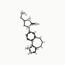 NCC1CN(c2ccc3c(c2)CCCc2cn[nH]c2-3)C(=O)O1